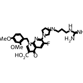 COc1ccc(Cn2cc(C(=O)O)c(=O)c3cc(F)c(N4CCC(NCCCNC(=N)N)C4)nc32)c(OC)c1